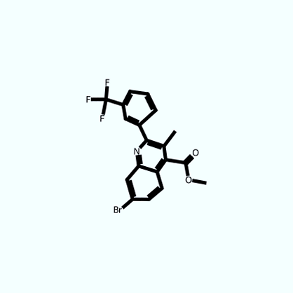 COC(=O)c1c(C)c(-c2cccc(C(F)(F)F)c2)nc2cc(Br)ccc12